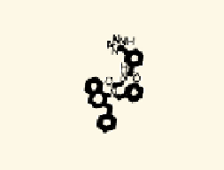 O=C(NCC(=O)N(Cc1ccccc1)C1c2ccccc2CCC1Cc1ccccc1)c1cccc(-c2nnn[nH]2)c1